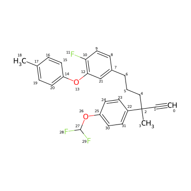 C#CC(C)(CCCc1ccc(F)c(Oc2ccc(C)cc2)c1)c1ccc(OC(F)F)cc1